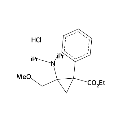 CCOC(=O)C1(c2ccccc2)CC1(COC)N(C(C)C)C(C)C.Cl